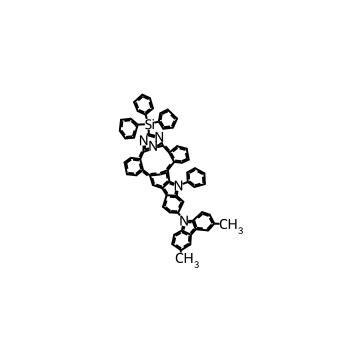 Cc1ccc2c(c1)c1cc(C)ccc1n2-c1ccc2c3cc4cc(c5ccccc5c5nc([Si](c6ccccc6)(c6ccccc6)c6ccccc6)nc(n5)c5ccccc45)c3n(-c3ccccc3)c2c1